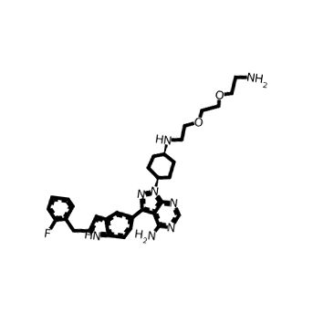 NCCOCCOCCN[C@H]1CC[C@@H](n2nc(-c3ccc4[nH]c(Cc5ccccc5F)cc4c3)c3c(N)ncnc32)CC1